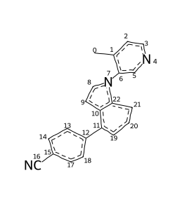 Cc1ccncc1-n1ccc2c(-c3ccc(C#N)cc3)cccc21